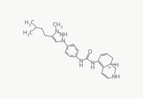 CC(C)CCC1=CN(c2ccc(NC(=O)NC3=C4C=CNC[C@H]4CC=C3)cc2)NN1C